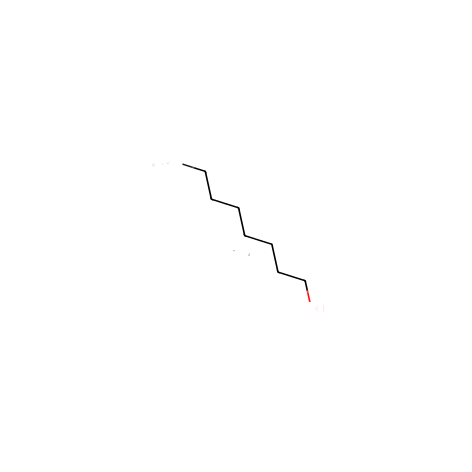 CCCCCCCCCCCCO.[SiH4]